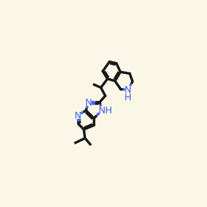 CC(C)c1cnc2nc(CC(C)c3cccc4c3CNCC4)[nH]c2c1